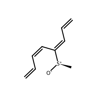 C=C/C=C\C(=C/C=C)[S@@+](C)[O-]